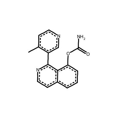 Cc1ccncc1-c1nccc2cccc(OC(N)=O)c12